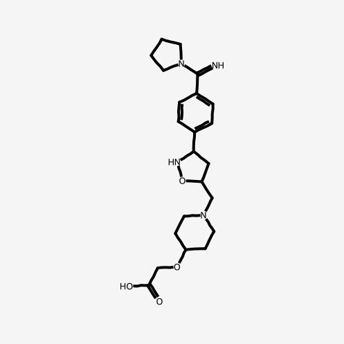 N=C(c1ccc(C2CC(CN3CCC(OCC(=O)O)CC3)ON2)cc1)N1CCCC1